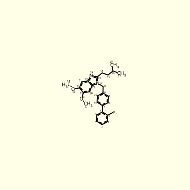 [C]c1ccccc1-c1ccc(Cn2c(CCC(C)C)nc3cc(OC)c(OC)cc32)cc1